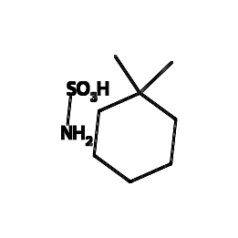 CC1(C)CCCCC1.NS(=O)(=O)O